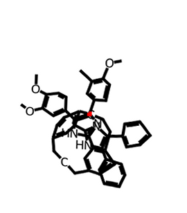 COc1ccc(-c2nc(-c3cc4ccc3CCCc3ccc(cc3-c3nc(-c5ccccc5)c(-c5ccccc5)[nH]3)CCC4)[nH]c2-c2ccc(OC)c(OC)c2)cc1C